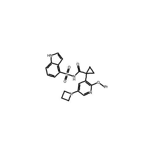 CC(C)Oc1ncc(N2CCC2)cc1C1(C(=O)NS(=O)(=O)c2cccc3[nH]ccc23)CC1